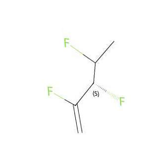 C=C(F)[C@@H](F)C(C)F